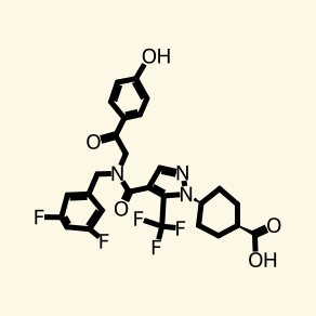 O=C(CN(Cc1cc(F)cc(F)c1)C(=O)c1cnn([C@H]2CC[C@H](C(=O)O)CC2)c1C(F)(F)F)c1ccc(O)cc1